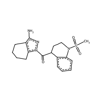 CS(=O)(=O)N1CCC(C(=O)n2nc(N)c3c2CCCC3)c2ccccc21